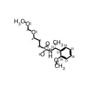 COCOCCCS(=O)(=O)N[C@H](C)c1ccccc1OC